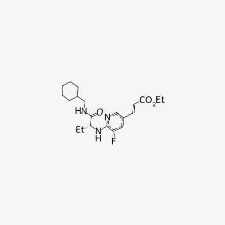 CCOC(=O)/C=C/c1cnc(N[C@H](CC)C(=O)NCC2CCCCC2)c(F)c1